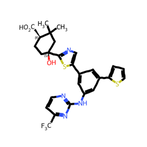 CC1(C)C[C@](O)(c2ncc(-c3cc(Nc4nccc(C(F)(F)F)n4)cc(-c4cccs4)c3)s2)CC[C@H]1C(=O)O